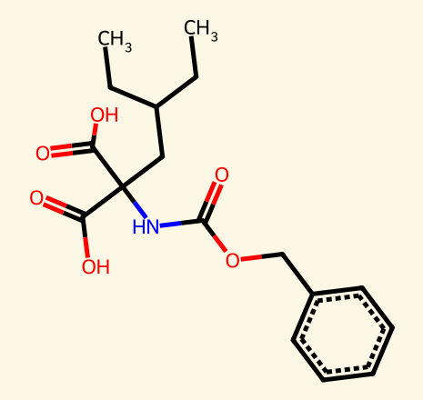 CCC(CC)CC(NC(=O)OCc1ccccc1)(C(=O)O)C(=O)O